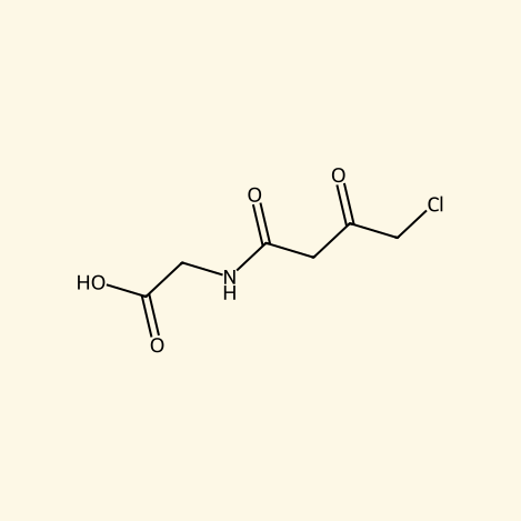 O=C(O)CNC(=O)CC(=O)CCl